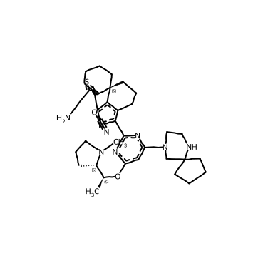 C[C@H](Oc1cc(N2CCNC3(CCCC3)C2)nc(-c2noc3c2CCC[C@@]32CCCc3sc(N)c(C#N)c32)n1)[C@@H]1CCCN1C